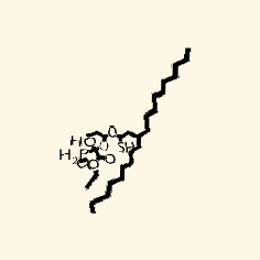 CCCCCCCCCCC(CCCCCCCCC)CC(S)OC(CC)OC(O)([PH2]=O)C(=O)OCC